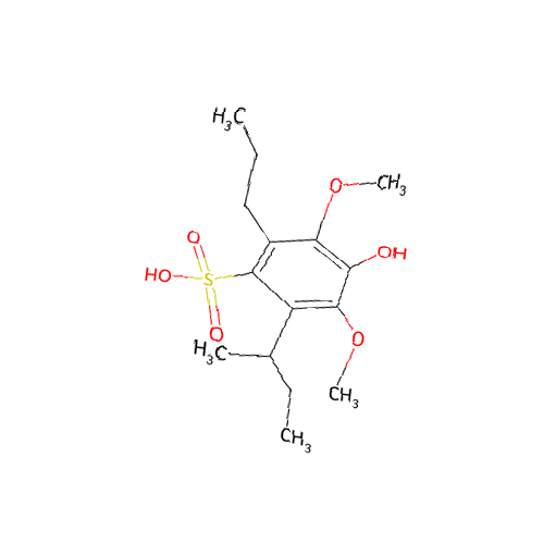 CCCc1c(OC)c(O)c(OC)c(C(C)CC)c1S(=O)(=O)O